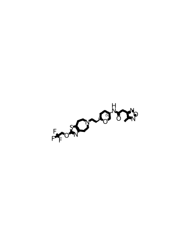 Cc1nonc1CC(=O)N[C@H]1CC[C@H](CCN2CCc3nc(OCC(F)(F)F)sc3CC2)OC1